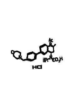 CC(=O)N1c2ccc(-c3ccc(CN4CCOCC4)cc3)cc2[C@H](N(C(=O)O)C(C)C)C[C@@H]1C.Cl